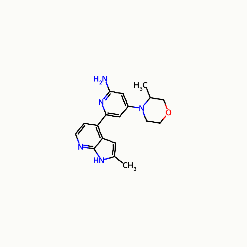 Cc1cc2c(-c3cc(N4CCOCC4C)cc(N)n3)ccnc2[nH]1